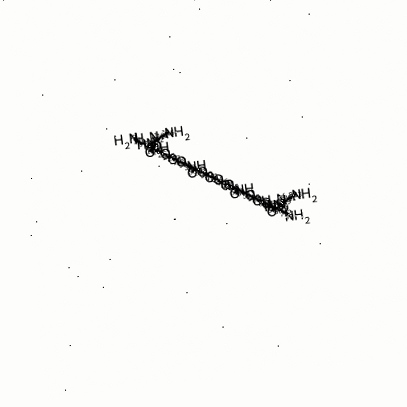 NCCCCC[C@H](NC(=O)[C@@H](N)CCCCN)C(=O)NCCCOCCOCCOCCCNC(=O)CCOCCOCCOCCOOCCC(=O)NCCCOCCOCCOCNC(=O)[C@H](CCCCN)NC(=O)[C@@H](N)CCCCN